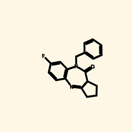 O=C1C2CCCC2=Nc2ccc(F)cc2N1Cc1ccccc1